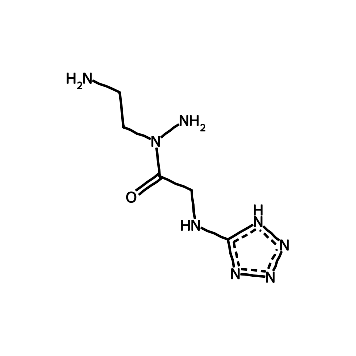 NCCN(N)C(=O)CNc1nnn[nH]1